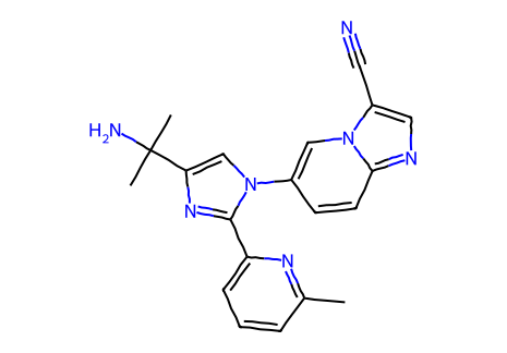 Cc1cccc(-c2nc(C(C)(C)N)cn2-c2ccc3ncc(C#N)n3c2)n1